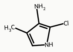 Cc1c[nH]c(Cl)c1N